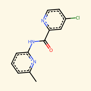 Cc1cccc(NC(=O)c2cc(Cl)ccn2)n1